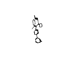 Cc1cc(=O)c(-c2ccc(-c3ccccc3)cc2)c(C)o1